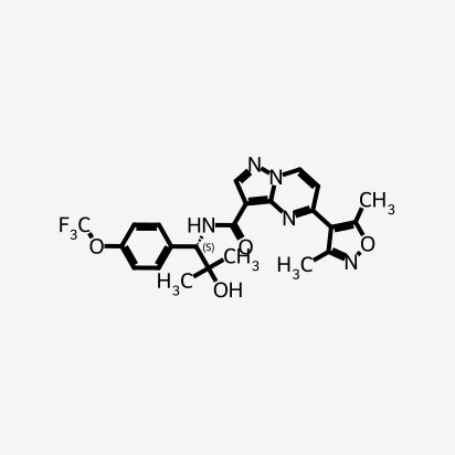 Cc1noc(C)c1-c1ccn2ncc(C(=O)N[C@@H](c3ccc(OC(F)(F)F)cc3)C(C)(C)O)c2n1